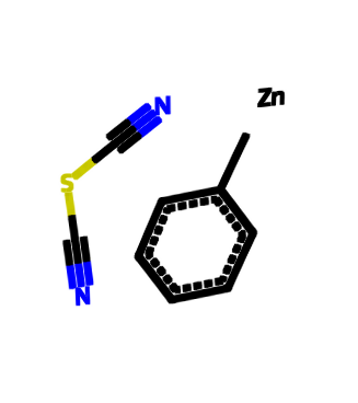 Cc1ccccc1.N#CSC#N.[Zn]